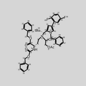 CC(=O)OCC(O)N(CC[C@H](NC(=O)OCc1ccccc1)C(=O)OCc1ccccc1)[C@@H](c1cc(-c2cc(F)ccc2F)cn1Cc1ccccc1)C(C)(C)C